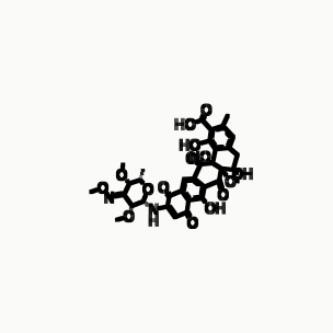 CON=C1[C@@H](OC)[C@H](C)O[C@H](NC2=CC(=O)c3c(cc4c(c3O)C(=O)C3(OC)C(O)Cc5cc(C)c(C(=O)O)c(O)c5C3(O)C4=O)C2=O)[C@@H]1OC